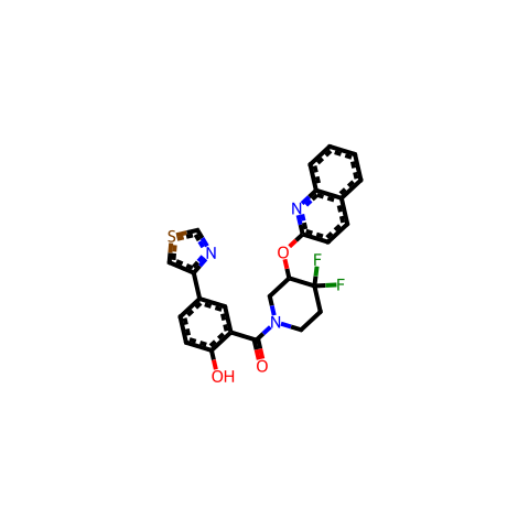 O=C(c1cc(-c2cscn2)ccc1O)N1CCC(F)(F)C(Oc2ccc3ccccc3n2)C1